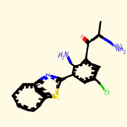 CC(N)C(=O)c1cc(Cl)cc(-c2nc3ccccc3s2)c1N